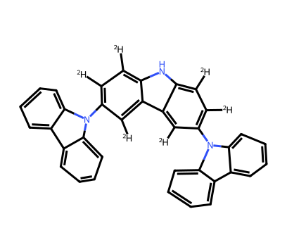 [2H]c1c(-n2c3ccccc3c3ccccc32)c([2H])c2c([nH]c3c([2H])c([2H])c(-n4c5ccccc5c5ccccc54)c([2H])c32)c1[2H]